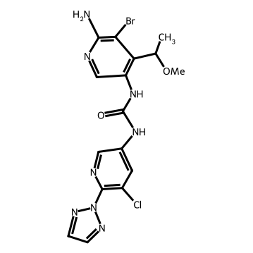 COC(C)c1c(NC(=O)Nc2cnc(-n3nccn3)c(Cl)c2)cnc(N)c1Br